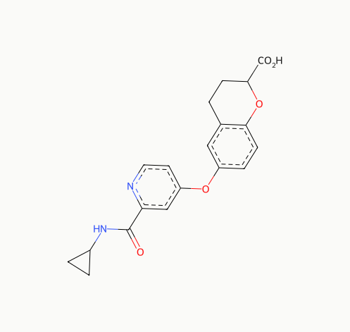 O=C(NC1CC1)c1cc(Oc2ccc3c(c2)CCC(C(=O)O)O3)ccn1